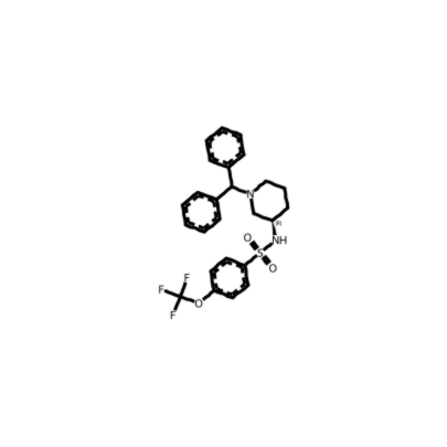 O=S(=O)(N[C@@H]1CCCN(C(c2ccccc2)c2ccccc2)C1)c1ccc(OC(F)(F)F)cc1